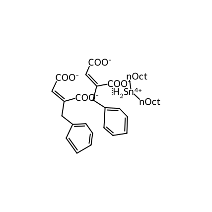 CCCCCCC[CH2][SnH2+4][CH2]CCCCCCC.O=C([O-])/C=C(/Cc1ccccc1)C(=O)[O-].O=C([O-])/C=C(/Cc1ccccc1)C(=O)[O-]